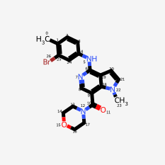 Cc1ccc(Nc2ncc(C(=O)N3CCOCC3)c3c2ccn3C)cc1Br